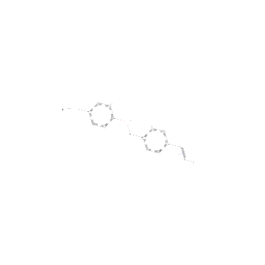 CCC/C=C/c1ccc(COc2ccc(CCCCC)cc2)cc1